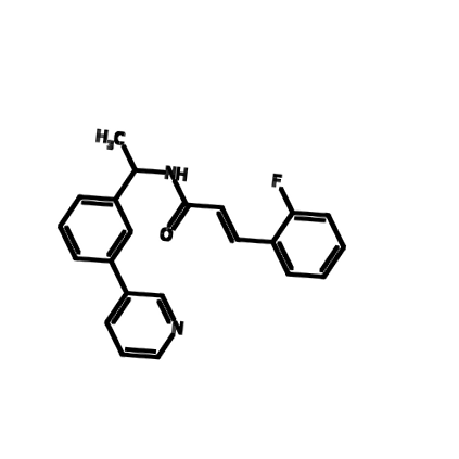 CC(NC(=O)C=Cc1ccccc1F)c1cccc(-c2cccnc2)c1